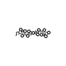 C=C/C=C\C(=C(C)C)c1cccc2c1oc1c(N(c3ccccc3)c3cccc4c3c3cccc5c6cc7c(cc6n4c53)c3cccc4c5c(N(c6ccccc6)c6cccc8c6oc6c(-c9ccccc9C)cccc68)cccc5n7c34)cccc12